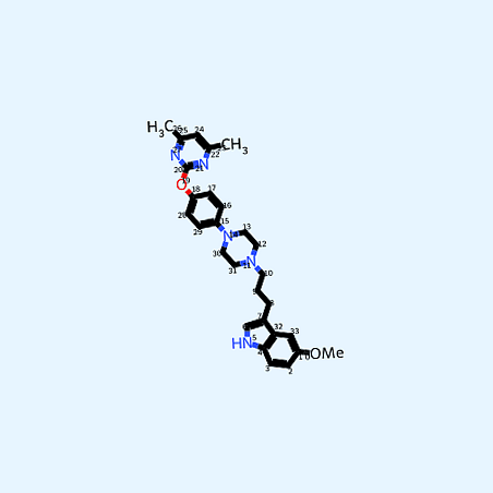 COc1ccc2[nH]cc(CCCN3CCN(c4ccc(Oc5nc(C)cc(C)n5)cc4)CC3)c2c1